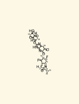 CS(=O)(=Nc1cc(F)c(COc2nc3[nH]c(O[C@@H]4CO[C@H]5[C@@H]4OC[C@H]5O)nc3cc2Cl)c(F)c1)C1CC1